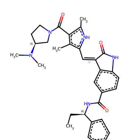 CC[C@@H](NC(=O)c1ccc2c(c1)/C(=C/c1[nH]c(C)c(C(=O)N3CC[C@H](N(C)C)C3)c1C)C(=O)N2)c1ccccc1